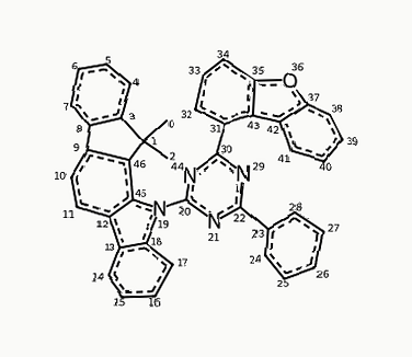 CC1(C)c2ccccc2-c2ccc3c4ccccc4n(-c4nc(-c5ccccc5)nc(-c5cccc6oc7ccccc7c56)n4)c3c21